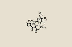 CC1CC(=O)C(C(=O)c2ccc(I)cc2)=C(NN(C)C(=O)OC(C)(C)C)C1